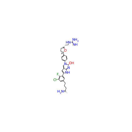 C[C@H](N)CCCc1cc(Cl)c(F)c(-c2cc3c([nH]2)=NC(O)N(c2ccc([C@H]4CC[C@H](CCNC(=N)N)O4)cc2)C=3)c1